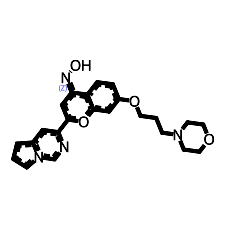 O/N=c1/cc(-c2cc3cccn3cn2)oc2cc(OCCCN3CCOCC3)ccc12